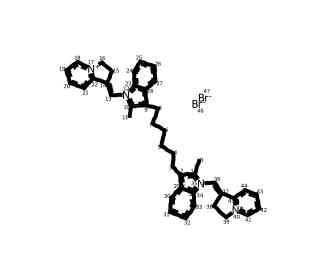 Cc1c(CCCCCCc2c(C)n(C=C3CC[n+]4ccccc43)c3ccccc23)c2ccccc2n1C=C1CC[n+]2ccccc21.[Br-].[Br-]